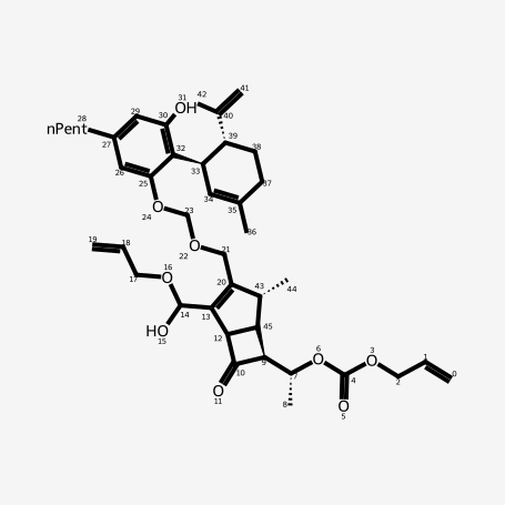 C=CCOC(=O)O[C@H](C)[C@H]1C(=O)C2C(C(O)OCC=C)=C(COCOc3cc(CCCCC)cc(O)c3[C@@H]3C=C(C)CC[C@H]3C(=C)C)[C@H](C)C21